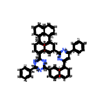 c1ccc(-c2cc(-c3ccccc3)nc(-c3cccc(-c4cccc5cccc(-c6ccc(-c7nc(-c8ccccc8)nc(-c8ccccc8)n7)cc6)c45)c3)n2)cc1